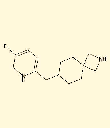 FC1=CC=C(CC2CCC3(CC2)CNC3)NC1